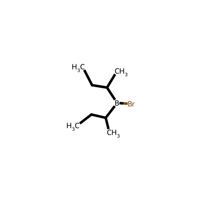 CCC(C)B(Br)C(C)CC